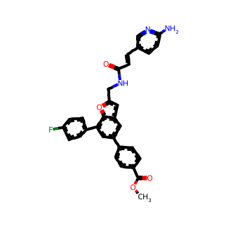 COC(=O)c1ccc(-c2cc(-c3ccc(F)cc3)c3oc(CNC(=O)/C=C/c4ccc(N)nc4)cc3c2)cc1